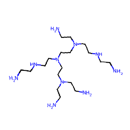 NCCNCCN(CCN)CCN(CCNCCN)CCN(CCN)CCN